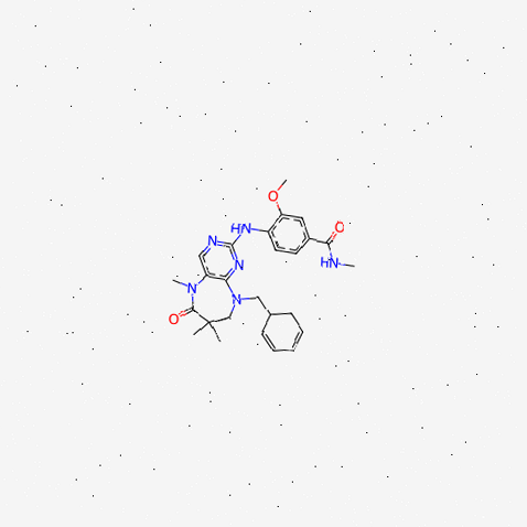 CNC(=O)c1ccc(Nc2ncc3c(n2)N(CC2C=CC=CC2)CC(C)(C)C(=O)N3C)c(OC)c1